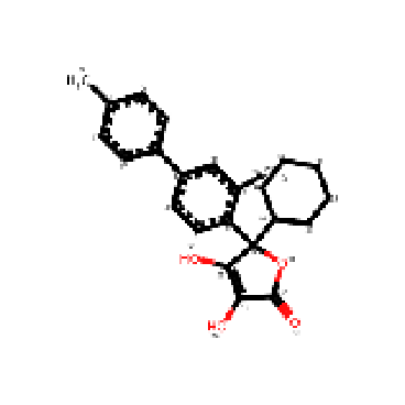 Cc1ccc(-c2ccc(C3(C4CCCCC4)OC(=O)C(O)=C3O)c(C)c2)cc1